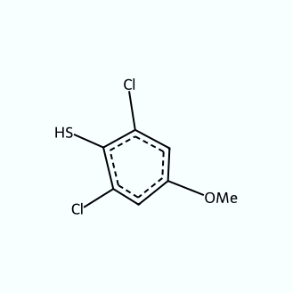 COc1cc(Cl)c(S)c(Cl)c1